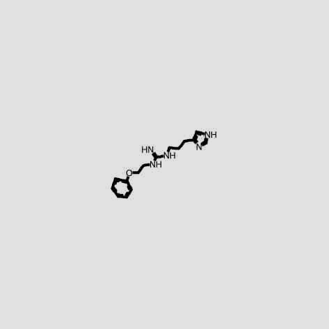 N=C(NCCCc1c[nH]cn1)NCCOc1ccccc1